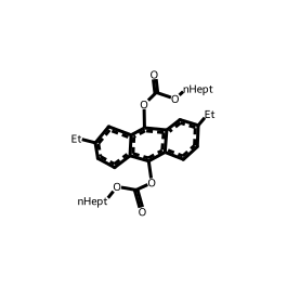 CCCCCCCOC(=O)Oc1c2ccc(CC)cc2c(OC(=O)OCCCCCCC)c2cc(CC)ccc12